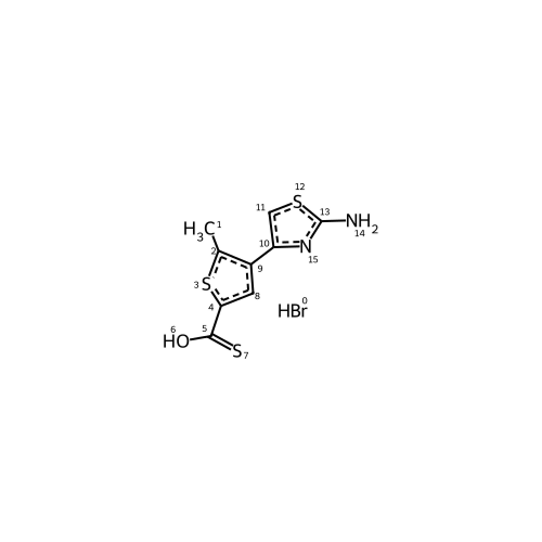 Br.Cc1sc(C(O)=S)cc1-c1csc(N)n1